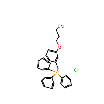 N#CCCCOc1cccc(C[P+](c2ccccc2)(c2ccccc2)c2ccccc2)c1.[Cl-]